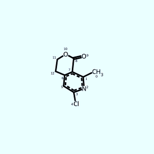 Cc1nc(Cl)cc2c1C(=O)OCC2